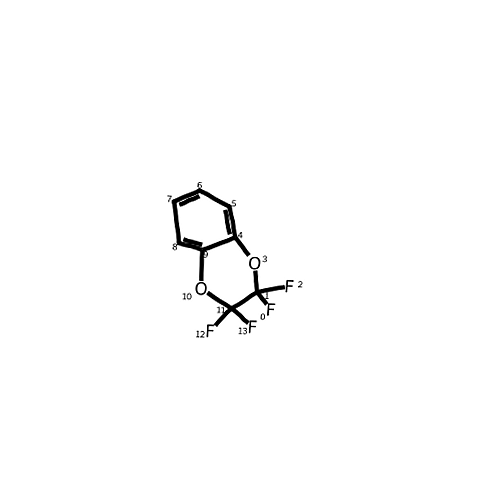 FC1(F)Oc2ccccc2OC1(F)F